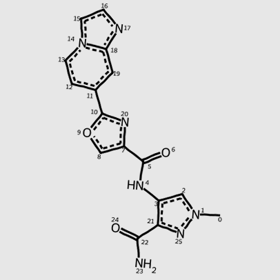 Cn1cc(NC(=O)c2coc(-c3ccn4ccnc4c3)n2)c(C(N)=O)n1